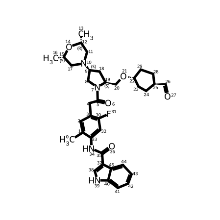 Cc1cc(CC(=O)N2C[C@@H](N3C[C@@H](C)O[C@@H](C)C3)C[C@H]2CO[C@H]2CC[C@H](C=O)CC2)c(F)cc1NC(=O)c1c[nH]c2ccccc12